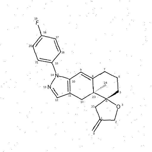 C=C1CO[C@]2(CCCC3=Cc4c(cnn4-c4ccc(F)cc4)C[C@@]32C)C1